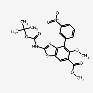 COC(=O)c1cc2sc(NC(=O)OC(C)(C)C)nc2c(-c2cccc([N+](=O)[O-])c2)c1OC